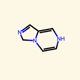 C1=CN2CN=CC2=CN1